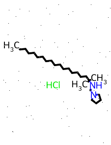 CCCCCCCCCCCCCCCCCC(C)(C)NCN1CCCC1.Cl